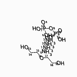 N.N.N.N.O=P(O)(O)OP(=O)(O)O.OCCOCCO